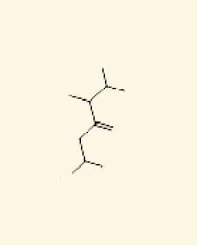 CC(C)CC(=O)C(Cl)C(C)C